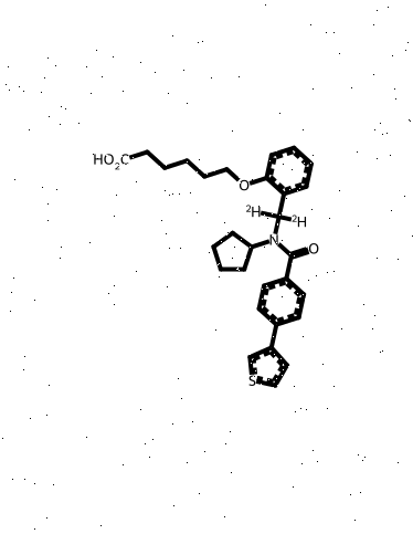 [2H]C([2H])(c1ccccc1OCCCCCC(=O)O)N(C(=O)c1ccc(-c2ccsc2)cc1)C1CCCC1